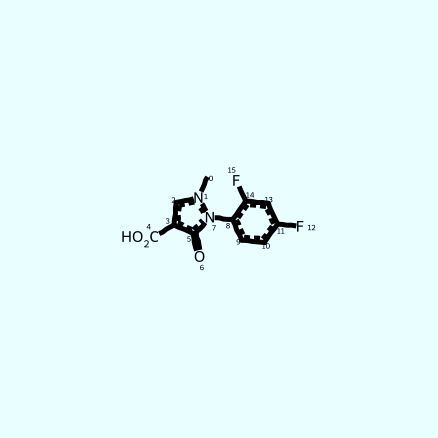 Cn1cc(C(=O)O)c(=O)n1-c1ccc(F)cc1F